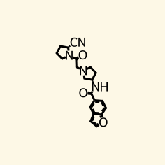 N#C[C@@H]1CCCN1C(=O)CN1CC[C@H](NC(=O)c2ccc3occc3c2)C1